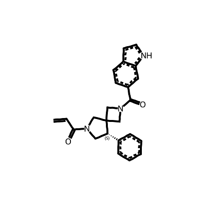 C=CC(=O)N1C[C@@H](c2ccccc2)C2(C1)CN(C(=O)c1ccc3cc[nH]c3c1)C2